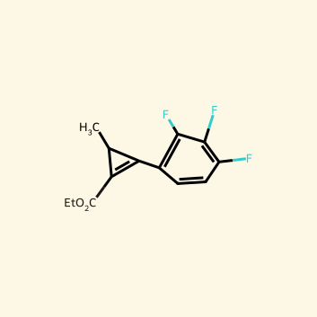 CCOC(=O)C1=C(c2ccc(F)c(F)c2F)C1C